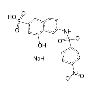 O=[N+]([O-])c1ccc(S(=O)(=O)Nc2ccc3cc(S(=O)(=O)O)cc(O)c3c2)cc1.[NaH]